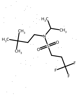 CC(C)N(CCC(C)(C)C)S(=O)(=O)CCC(F)(F)F